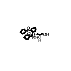 CCC(O)CO.O=C(O)c1ccccc1.O=P(O)(c1ccccc1)c1ccccc1